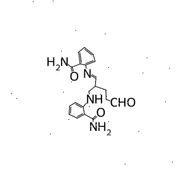 NC(=O)c1ccccc1/N=C/C(CCC=O)CNc1ccccc1C(N)=O